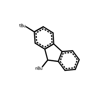 CCCCC1c2ccccc2-c2ccc(C(C)(C)C)cc21